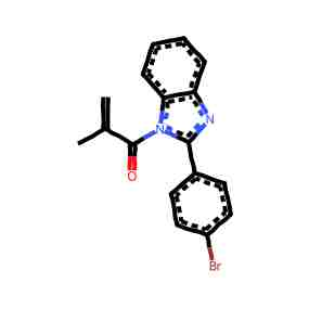 C=C(C)C(=O)n1c(-c2ccc(Br)cc2)nc2ccccc21